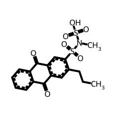 CCCc1cc2c(cc1S(=O)(=O)N(C)S(=O)(=O)O)C(=O)c1ccccc1C2=O